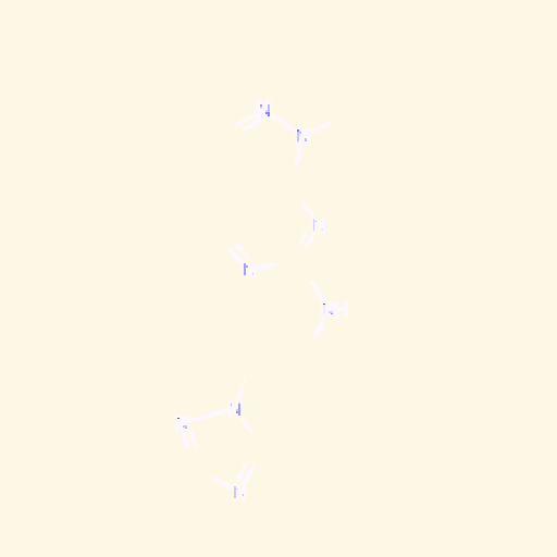 Cc1cc2ncnn2cc1Nc1ncc2c(C)nn(C(C)C)c2n1